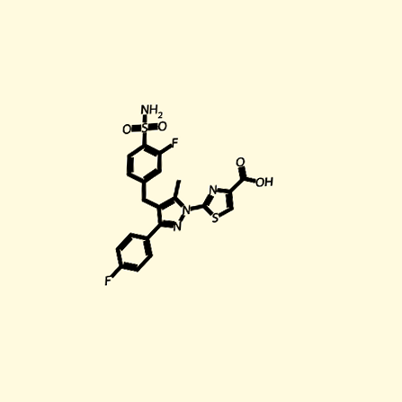 Cc1c(Cc2ccc(S(N)(=O)=O)c(F)c2)c(-c2ccc(F)cc2)nn1-c1nc(C(=O)O)cs1